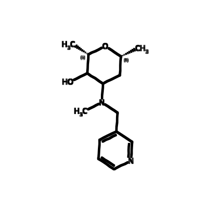 C[C@@H]1CC(N(C)Cc2cccnc2)C(O)[C@H](C)O1